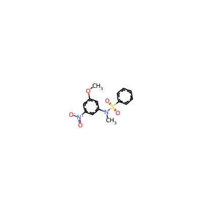 COc1cc(N(C)S(=O)(=O)c2ccccc2)cc([N+](=O)[O-])c1